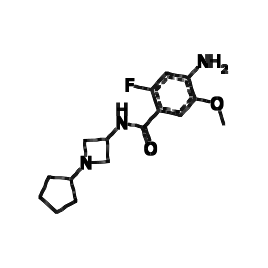 COc1cc(C(=O)NC2CN(C3CCCC3)C2)c(F)cc1N